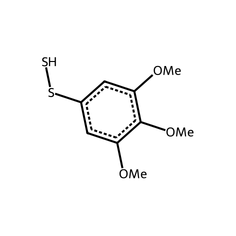 COc1cc(SS)cc(OC)c1OC